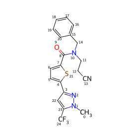 Cn1nc(-c2ccc(C(=O)N(CCC#N)Cc3ccccc3)s2)cc1C(F)(F)F